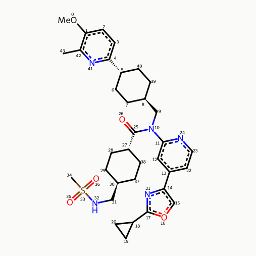 COc1ccc([C@H]2CC[C@H](CN(c3cc(-c4coc(C5CC5)n4)ccn3)C(=O)[C@H]3CC[C@H](CNS(C)(=O)=O)CC3)CC2)nc1C